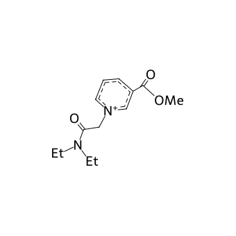 CCN(CC)C(=O)C[n+]1cccc(C(=O)OC)c1